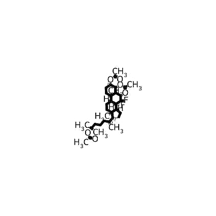 CC(=O)OC1C2CC(F)(F)[C@H]3[C@@H]4CC[C@H]([C@H](C)CCCC(C)(C)OC(C)=O)[C@@]4(C)CC[C@@H]3[C@@]2(C)CC[C@@H]1OC(C)=O